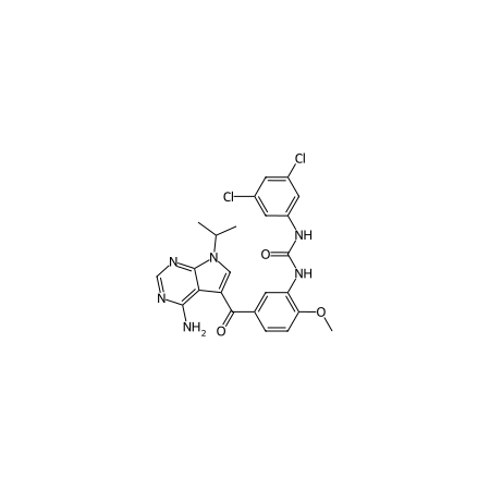 COc1ccc(C(=O)c2cn(C(C)C)c3ncnc(N)c23)cc1NC(=O)Nc1cc(Cl)cc(Cl)c1